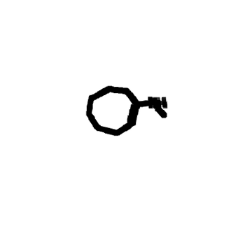 CN/C1=C/CCCCCC1